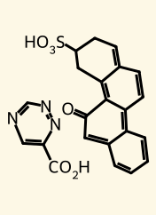 O=C(O)c1cncnn1.O=C1C=c2ccccc2=c2ccc3c(c21)CC(S(=O)(=O)O)CC=3